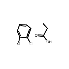 CCC(=O)O.Clc1ccccc1Cl